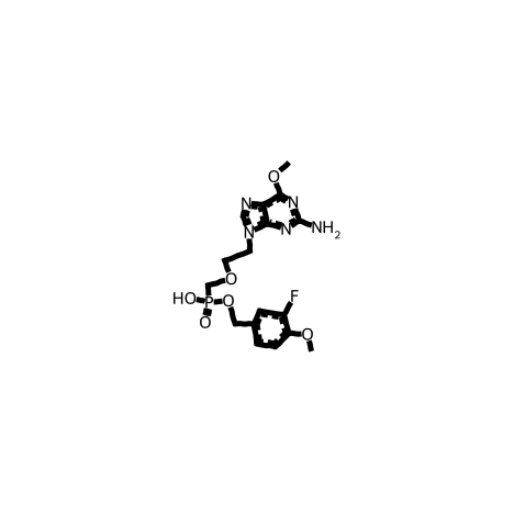 COc1ccc(COP(=O)(O)COCCn2cnc3c(OC)nc(N)nc32)cc1F